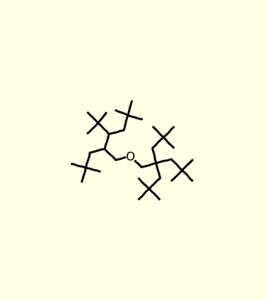 CC(C)(C)CC(COCC(CC(C)(C)C)(CC(C)(C)C)CC(C)(C)C)C(CC(C)(C)C)C(C)(C)C